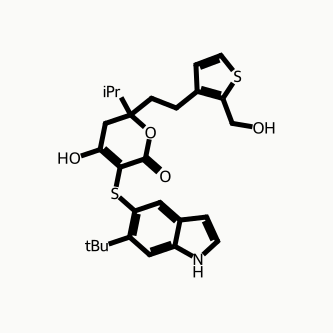 CC(C)C1(CCc2ccsc2CO)CC(O)=C(Sc2cc3cc[nH]c3cc2C(C)(C)C)C(=O)O1